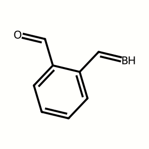 B=Cc1ccccc1C=O